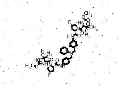 COC(=O)NC(C(=O)N1C[C@@H](F)C[C@H]1C(=O)Nc1ccc(CN(Cc2ccc(NC(=O)[C@@H]3C[C@H](F)CN3C(=O)[C@@H](NC(=O)OC)C(C)(C)C)cc2)c2ccccc2)cc1)C(C)(C)C